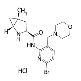 C[C@@]12C[C@@H](C(=O)Nc3nc(Br)ccc3CN3CCOCC3)N[C@@H]1C2.Cl